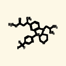 COC(=O)C[C@@H](C)c1ccc(N(CC(C)C)C2CCOCC2)c(Nc2ccc(C(F)(F)F)cn2)c1